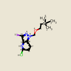 C[Si](C)(C)CCOCn1nc(I)c2nc(Cl)ccc21